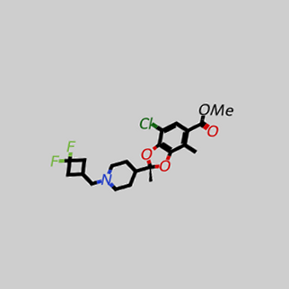 COC(=O)c1cc(Cl)c2c(c1C)O[C@](C)(C1CCN(CC3CC(F)(F)C3)CC1)O2